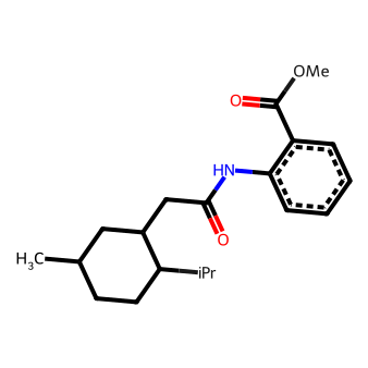 COC(=O)c1ccccc1NC(=O)CC1CC(C)CCC1C(C)C